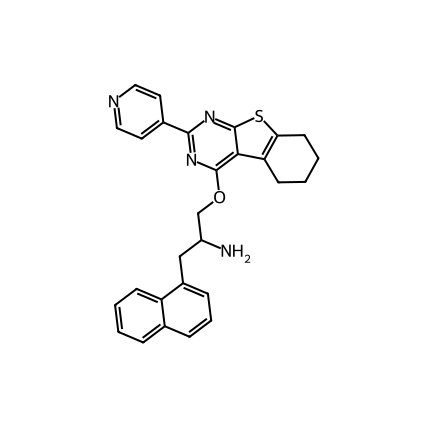 NC(COc1nc(-c2ccncc2)nc2sc3c(c12)CCCC3)Cc1cccc2ccccc12